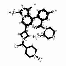 CCC(C1CCN(C(C)=O)CC1)N1CC(c2cc(-c3ccc(F)cc3C(=O)N3CCOC[C@H]3C)c3c(F)nc(C)n3c2)C1